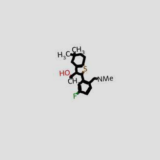 C=C(O)C1C2=C(CCC(C)(C)C2)SC1c1cc(F)ccc1CNC